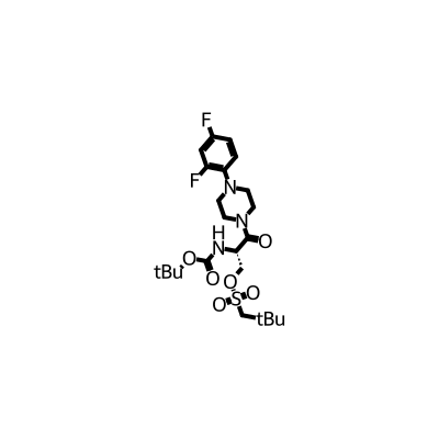 CC(C)(C)CS(=O)(=O)OC[C@H](NC(=O)OC(C)(C)C)C(=O)N1CCN(c2ccc(F)cc2F)CC1